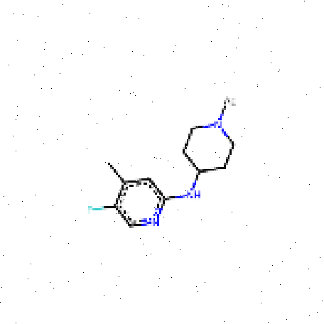 CC(=O)N1CCC(Nc2cc(C)c(F)cn2)CC1